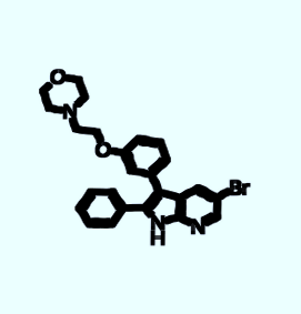 Brc1cnc2[nH]c(-c3ccccc3)c(-c3cccc(OCCN4CCOCC4)c3)c2c1